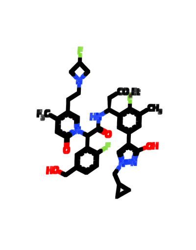 CCOC(=O)C[C@H](NC(=O)C(c1cc(CO)ccc1F)n1cc(CCN2CC(F)C2)c(C(F)(F)F)cc1=O)c1cc(-c2cn(CC3CC3)nc2O)cc(C)c1F